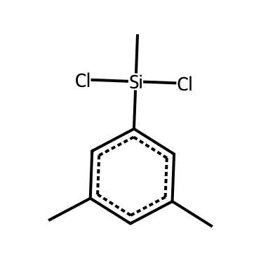 Cc1cc(C)cc([Si](C)(Cl)Cl)c1